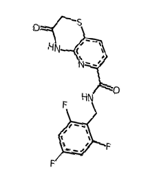 O=C1CSc2ccc(C(=O)NCc3c(F)cc(F)cc3F)nc2N1